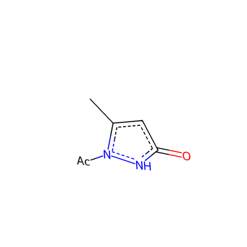 CC(=O)n1[nH]c(=O)cc1C